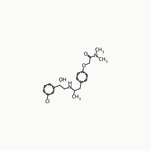 CC(Cc1ccc(OCC(=O)N(C)C)cc1)NC[C@@H](O)c1cccc(Cl)c1